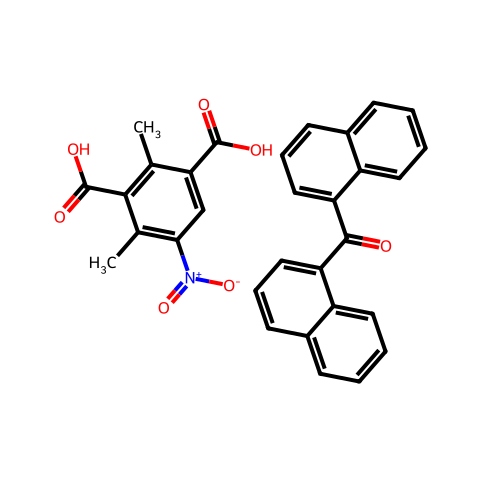 Cc1c(C(=O)O)cc([N+](=O)[O-])c(C)c1C(=O)O.O=C(c1cccc2ccccc12)c1cccc2ccccc12